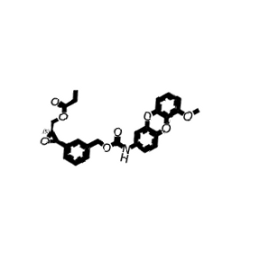 CCC(=O)OC[C@@H]1OC1c1cccc(COC(=O)Nc2ccc3c(c2)Oc2cccc(OC)c2O3)c1